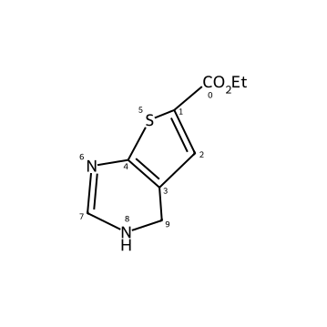 CCOC(=O)c1cc2c(s1)N=CNC2